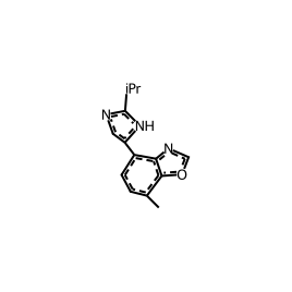 Cc1ccc(-c2cnc(C(C)C)[nH]2)c2ncoc12